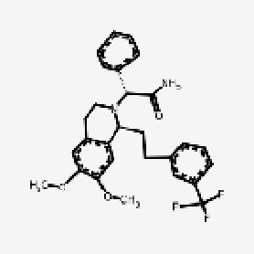 COc1cc2c(cc1OC)[C@H](CCc1cccc(C(F)(F)F)c1)N([C@@H](C(N)=O)c1ccccc1)CC2